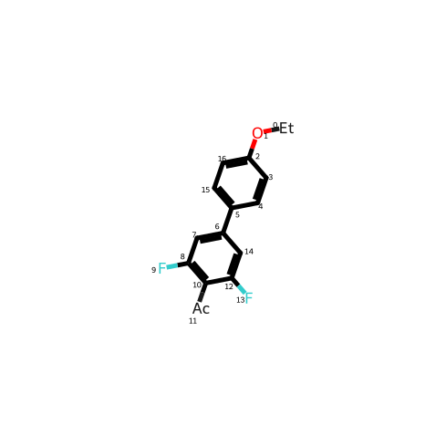 CCOc1ccc(-c2cc(F)c(C(C)=O)c(F)c2)cc1